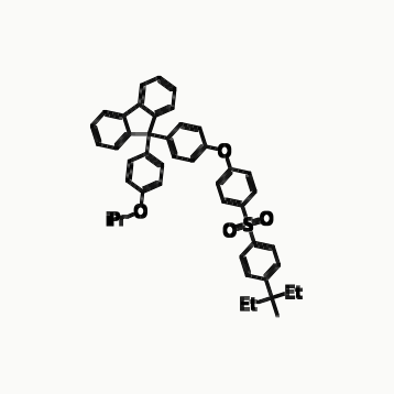 CCC(C)(CC)c1ccc(S(=O)(=O)c2ccc(Oc3ccc(C4(c5ccc(OC(C)C)cc5)c5ccccc5-c5ccccc54)cc3)cc2)cc1